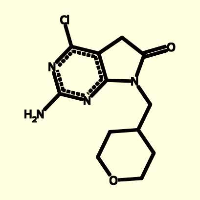 Nc1nc(Cl)c2c(n1)N(CC1CCOCC1)C(=O)C2